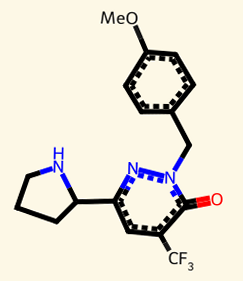 COc1ccc(Cn2nc(C3CCCN3)cc(C(F)(F)F)c2=O)cc1